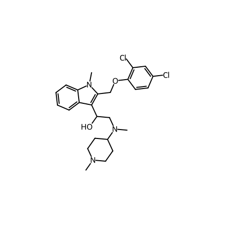 CN1CCC(N(C)CC(O)c2c(COc3ccc(Cl)cc3Cl)n(C)c3ccccc23)CC1